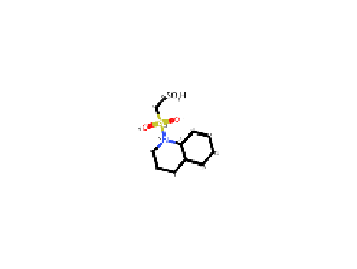 O=S(=O)(O)CS(=O)(=O)N1CCCC2CCCCC21